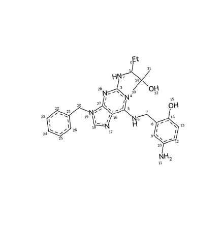 CCC(Nc1nc(NCc2cc(N)ccc2O)c2ncn(Cc3ccccc3)c2n1)C(C)(C)O